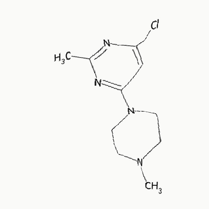 Cc1nc(Cl)cc(N2CCN(C)CC2)n1